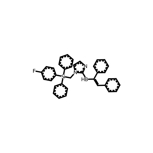 Fc1ccc([Si](Cn2ccnc2BC(=Cc2ccccc2)c2ccccc2)(c2ccccc2)c2ccccc2)cc1